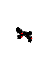 CC1(C)c2ccccc2-c2ccc(-c3c4ccccc4cc4c3oc3cc(N(c5ccc6c(c5)C(C)(C)c5ccccc5-6)c5ccc6ccccc6c5)ccc34)cc21